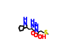 CSCCC(NC(=O)C(N)Cc1c[nH]c2ccccc12)C(=O)O